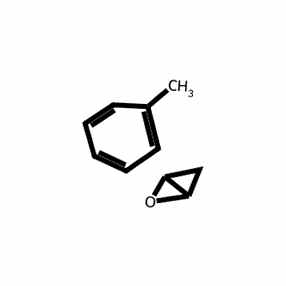 C1C2OC12.Cc1ccccc1